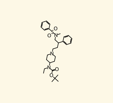 CCN(C(=O)OC(C)(C)C)C1CCN(CCC(CN(C)S(=O)(=O)c2ccccc2)c2ccccc2)CC1